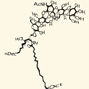 CCCCCCCC/C=C\CCCCCCCCCCCCCC(=O)N[C@@H](CO[C@@H]1OC(CO)[C@@H](O[C@@H]2OC(CO)[C@H](O)[C@H](O[C@@H]3OC(CO)[C@@H](O[C@@H]4OC(CO)[C@H](O)[C@H](O[C@H]5OC(CO)[C@H](O)[C@H](O)C5O)C4O)[C@H](O)C3NC(C)=O)C2O)[C@H](O)C1O)[C@H](O)/C=C/CCCCCCCCCCCCC